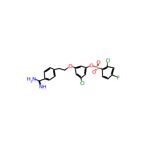 N=C(N)c1ccc(CCOc2cc(Cl)cc(OS(=O)(=O)c3ccc(F)cc3Cl)c2)cc1